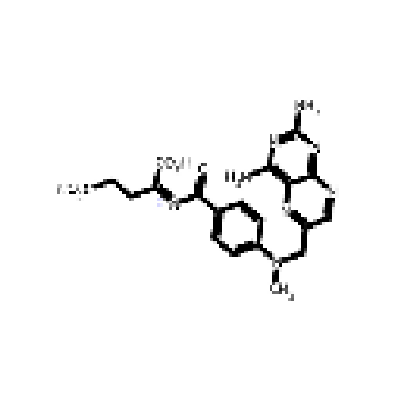 CN(Cc1cnc2nc(N)nc(N)c2n1)c1ccc(C(=O)/N=C(/CCC(=O)O)C(=O)O)cc1